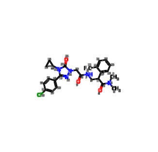 CN(C)C(=O)C(CNC(=O)Cn1nc(-c2ccc(Cl)cc2)n(C2CC2)c1=O)c1ccccc1C(F)(F)F